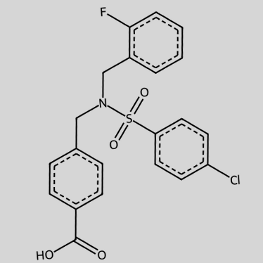 O=C(O)c1ccc(CN(Cc2ccccc2F)S(=O)(=O)c2ccc(Cl)cc2)cc1